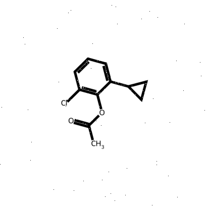 CC(=O)Oc1c(Cl)cccc1C1CC1